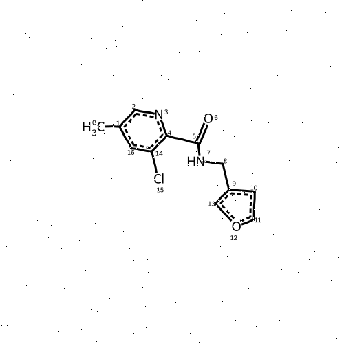 Cc1cnc(C(=O)NCc2ccoc2)c(Cl)c1